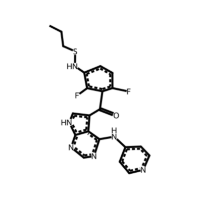 CCCSNc1ccc(F)c(C(=O)c2c[nH]c3ncnc(Nc4ccncc4)c23)c1F